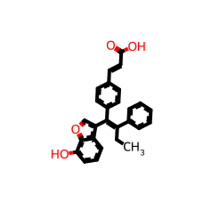 CCC(=C(c1ccc(C=CC(=O)O)cc1)c1coc2c(O)cccc12)c1ccccc1